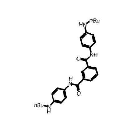 CCCCNc1ccc(NC(=O)c2cccc(C(=O)Nc3ccc(NCCCC)cc3)c2)cc1